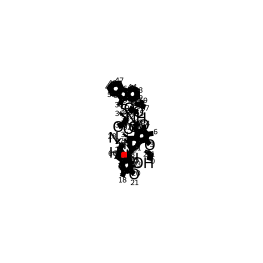 C=CCOc1c(C)c2c(c3c1CC1[C@H]4c5c(cc(C)c(OC)c5O)C[C@@H]([C@H](C#N)N1[C@H]3COC(=O)[C@@H](CSCC1c3ccccc3-c3ccccc31)NC(=O)OC(C)(C)C)N4C)OCO2